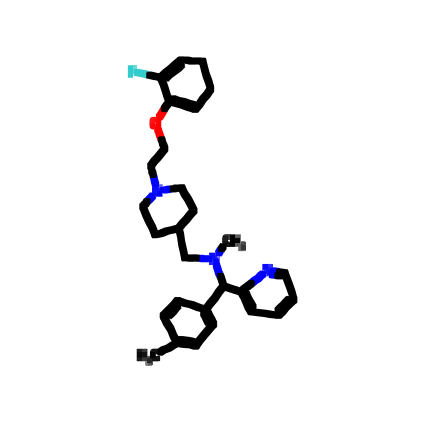 Cc1ccc(C(c2ccccn2)N(C)CC2CCN(CCOC3=CCCC=C3F)CC2)cc1